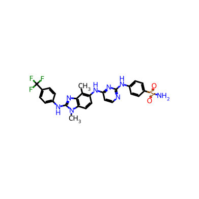 Cc1c(Nc2ccnc(Nc3ccc(S(N)(=O)=O)cc3)n2)ccc2c1nc(Nc1ccc(C(F)(F)F)cc1)n2C